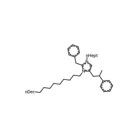 CCCCCCCCCCCCCCCCCCC[n+]1c(CC(C)c2ccccc2)cn(CCCCCCC)c1Cc1ccccc1